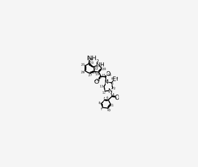 CCC1CN(C(=O)c2ccccc2)CCN1C(=O)C(=O)c1c[nH]c2c(N)cccc12